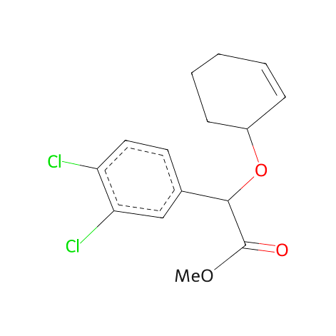 COC(=O)C(OC1C=CCCC1)c1ccc(Cl)c(Cl)c1